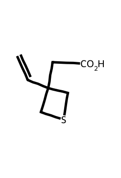 C=CC1(CC(=O)O)CSC1